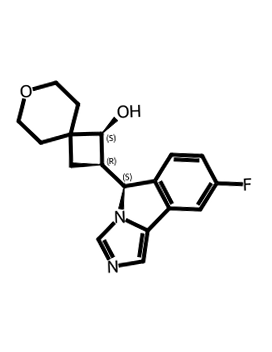 O[C@H]1[C@@H]([C@H]2c3ccc(F)cc3-c3cncn32)CC12CCOCC2